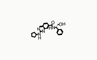 O=C(N[C@H](CO)c1ccccc1)c1ccc2cnc(NC3CCCC3)nc2c1